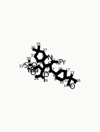 CC(C)c1nc2c(c3c1C(c1ccc(C4(C)COC4)cc1)OC31CCOCC1I)C(O[Si](C)(C)C(C)(C)C)CC(C)(C)C2